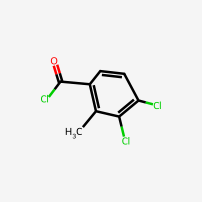 Cc1c(C(=O)Cl)ccc(Cl)c1Cl